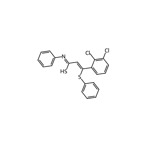 SC(C=C(Sc1ccccc1)c1cccc(Cl)c1Cl)=Nc1ccccc1